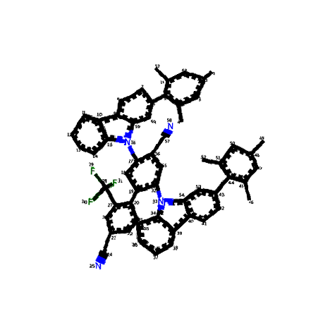 Cc1cc(C)c(-c2ccc3c4ccccc4n(-c4cc(-c5ccc(C#N)cc5C(F)(F)F)c(-n5c6ccccc6c6ccc(-c7c(C)cc(C)cc7C)cc65)cc4C#N)c3c2)c(C)c1